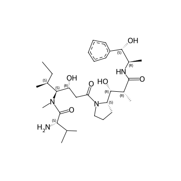 CC[C@H](C)[C@@H]([C@H](O)CC(=O)N1CCC[C@H]1[C@H](O)[C@@H](C)C(=O)N[C@H](C)[C@@H](O)c1ccccc1)N(C)C(=O)[C@@H](N)C(C)C